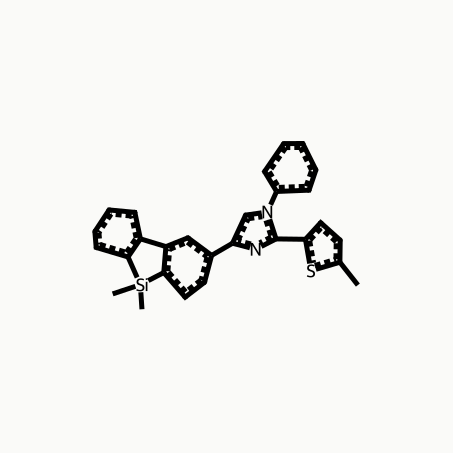 Cc1ccc(-c2nc(-c3ccc4c(c3)-c3ccccc3[Si]4(C)C)cn2-c2ccccc2)s1